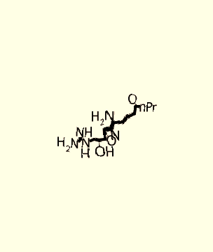 CCCC(=O)CCC[C@H](N)c1cc([C@H](O)CNC(=N)N)on1